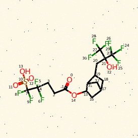 O=C(CCC(F)(F)C(F)(F)S(=O)(=O)O)OC1CC2CC(CC(O)(C(F)(F)F)C(F)(F)F)C1C2